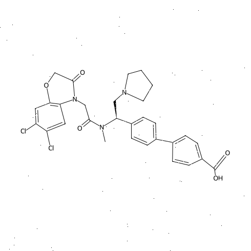 CN(C(=O)CN1C(=O)COc2cc(Cl)c(Cl)cc21)[C@@H](CN1CCCC1)c1ccc(-c2ccc(C(=O)O)cc2)cc1